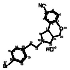 Cl.N#Cc1ccc2c(c1)C1CN(CCc3ccc(Br)cc3)CC1CO2